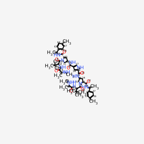 CN[C@@H](C)C(=O)N[C@H](C(=O)N1C[C@@H](NC(=O)c2c[nH]c(C(=O)N[C@H]3C[C@@H](C(=O)N[C@H](C)c4ccc(C)cc4)N(C(=O)[C@@H](NC(=O)[C@H](C)NC)C(C)(C)C)C3)c2)C[C@H]1C(=O)N[C@H](C)c1ccc(C)cc1)C(C)(C)C